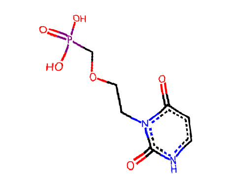 O=c1cc[nH]c(=O)n1CCOCP(=O)(O)O